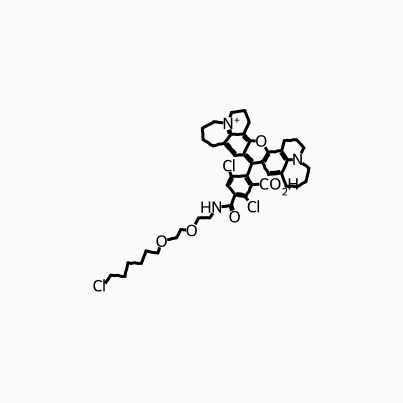 O=C(NCCOCCOCCCCCCCl)c1cc(Cl)c(C2=c3cc4c5c(c3Oc3c2cc2c6c3CCCN6CCCC2)CCC[N+]=5CCCC4)c(C(=O)O)c1Cl